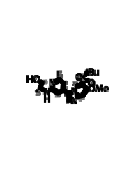 COc1cc2ncc(-c3cc(F)nc(N[C@H](C)CO)c3)n2cc1S(=O)(=O)C(C)(C)C